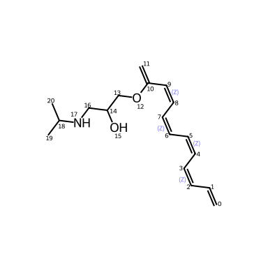 C=C\C=C/C=C\C=C/C=C\C(=C)OCC(O)CNC(C)C